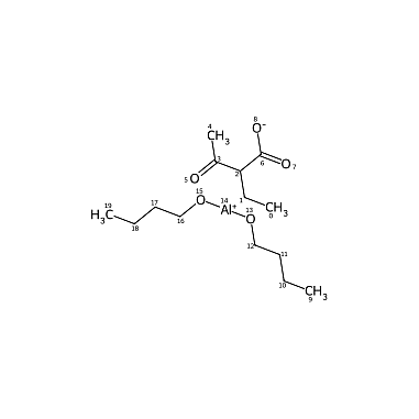 CCC(C(C)=O)C(=O)[O-].CCCC[O][Al+][O]CCCC